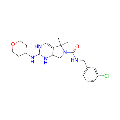 CC1(C)C2=CNC(NC3CCOCC3)NC2CN1C(=O)NCc1cccc(Cl)c1